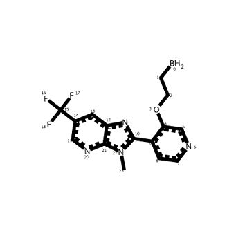 BCCOc1cnccc1-c1nc2cc(C(F)(F)F)cnc2n1C